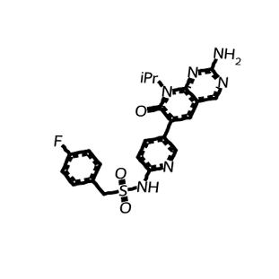 CC(C)n1c(=O)c(-c2ccc(NS(=O)(=O)Cc3ccc(F)cc3)nc2)cc2cnc(N)nc21